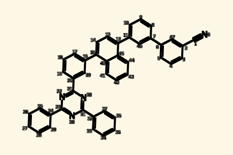 N#Cc1cccc(-c2cccc(-c3ccc(-c4cccc(-c5nc(-c6ccccc6)nc(-c6ccccc6)n5)c4)c4ccccc34)c2)c1